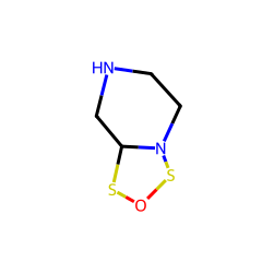 C1CN2SOSC2CN1